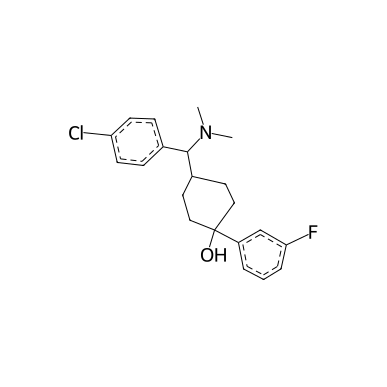 CN(C)C(c1ccc(Cl)cc1)C1CCC(O)(c2cccc(F)c2)CC1